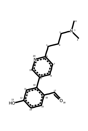 CN(C)CCCc1ccc(-c2cc(O)ccc2C=O)cn1